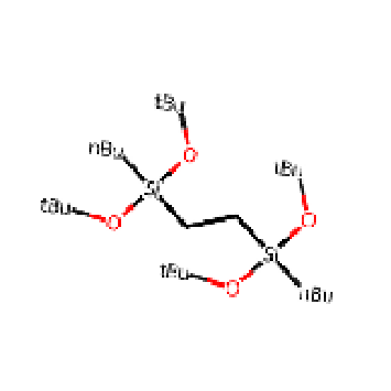 CCCC[Si](CC[Si](CCCC)(OC(C)(C)C)OC(C)(C)C)(OC(C)(C)C)OC(C)(C)C